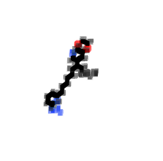 Nc1cccc(CCCCCCC(CC(=O)O)c2cnc3c(c2)OCCO3)n1